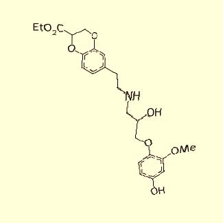 CCOC(=O)C1COc2cc(CCNCC(O)COc3ccc(O)cc3OC)ccc2O1